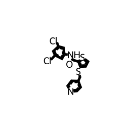 O=C(Nc1cc(Cl)cc(Cl)c1)c1sccc1SCc1ccncc1